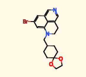 Brc1cc2c3c(cncc3c1)CCN2CC1CCC2(CC1)OCCO2